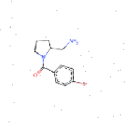 NCC1CCCN1C(=O)c1ccc(Br)cc1